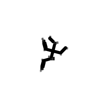 CCC(C=O)(NC=O)OC